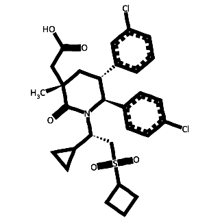 C[C@@]1(CC(=O)O)C[C@H](c2cccc(Cl)c2)[C@@H](c2ccc(Cl)cc2)N([C@H](CS(=O)(=O)C2CCC2)C2CC2)C1=O